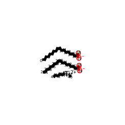 CCCCCCCC/C=C\CCCCCCCC(=O)[O-].CCCCCCCC/C=C\CCCCCCCC(=O)[O-].CCCCC[CH2][Ti+2][CH2]C